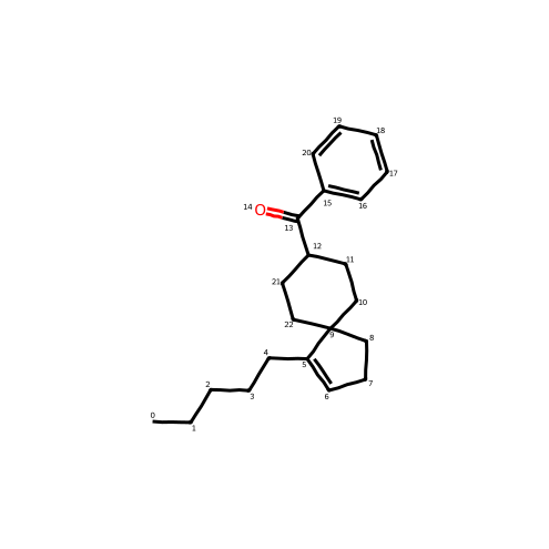 CCCCCC1=CCCC12CCC(C(=O)c1ccccc1)CC2